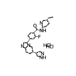 C=Cc1ccc(NC(=O)c2ccc(-c3cnc4ccc(-c5cn[nH]c5)cn34)cc2F)nc1.Cl.Cl